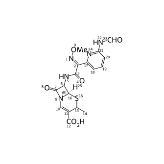 CON=C(C(=O)NC1C(=O)N2C=C(C(=O)O)C(C)S[C@H]12)c1cccc(NC=O)n1